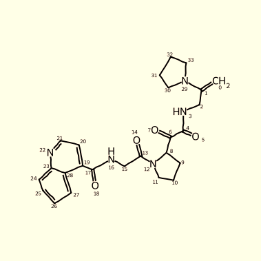 C=C(CNC(=O)C(=O)C1CCCN1C(=O)CNC(=O)c1ccnc2ccccc12)N1CCCC1